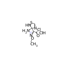 CCO/N=C(\C(=O)Cl)C1(N)N=CSN1.Cl